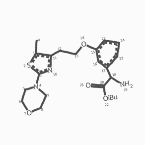 Cc1sc(N2CCOCC2)nc1CCOc1[c]c(C(N)C(=O)OCC(C)C)ccc1